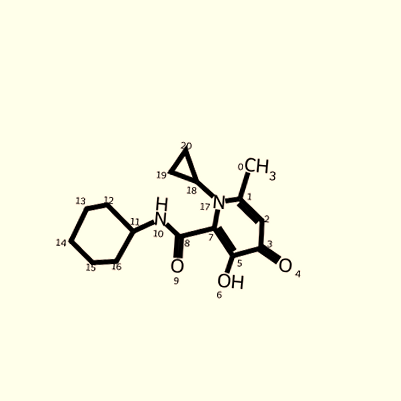 Cc1cc(=O)c(O)c(C(=O)NC2CCCCC2)n1C1CC1